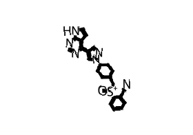 N#Cc1ccccc1[S+]([O-])CC1CCC(n2cc(-c3ncnc4[nH]ccc34)cn2)CC1